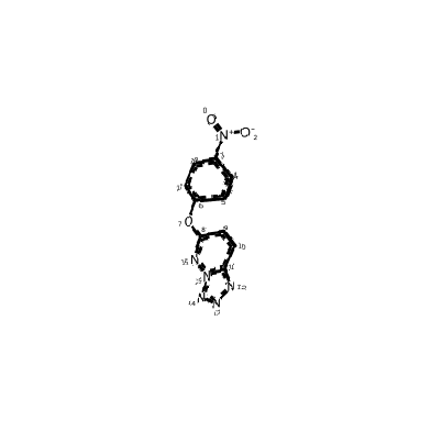 O=[N+]([O-])c1ccc(Oc2ccc3nnnn3n2)cc1